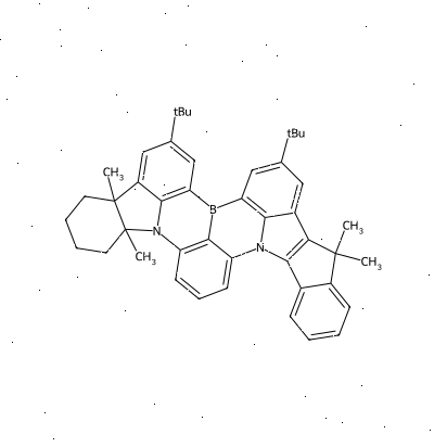 CC(C)(C)c1cc2c3c(c1)C1(C)CCCCC1(C)N3c1cccc3c1B2c1cc(C(C)(C)C)cc2c4c(n-3c12)-c1ccccc1C4(C)C